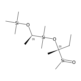 CC[C@@](C)(O[Si](C)(C)[C@@H](C)O[Si](C)(C)C)[Si](C)=O